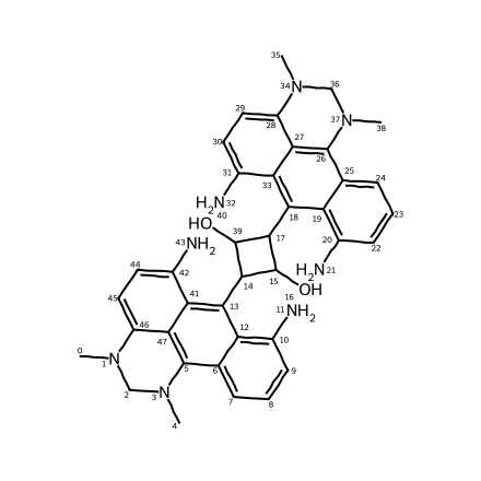 CN1CN(C)c2c3cccc(N)c3c(C3C(O)C(c4c5c(N)cccc5c5c6c(ccc(N)c46)N(C)CN5C)C3O)c3c(N)ccc1c23